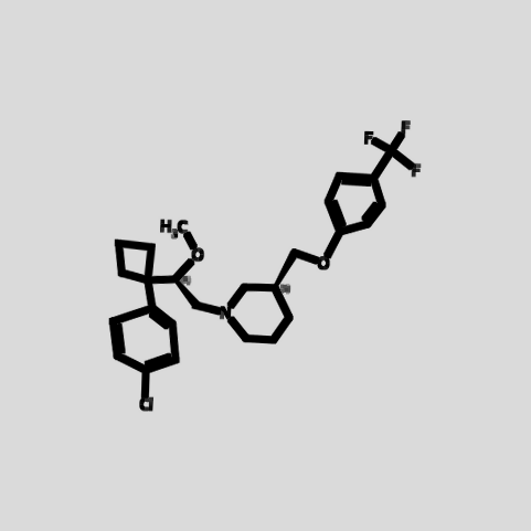 CO[C@@H](CN1CCC[C@H](COc2ccc(C(F)(F)F)cc2)C1)C1(c2ccc(Cl)cc2)CCC1